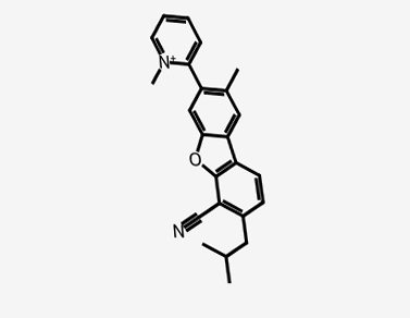 Cc1cc2c(cc1-c1cccc[n+]1C)oc1c(C#N)c(CC(C)C)ccc12